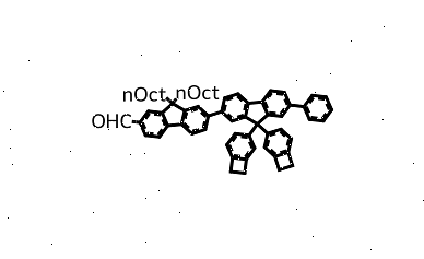 CCCCCCCCC1(CCCCCCCC)c2cc(C=O)ccc2-c2ccc(-c3ccc4c(c3)C(c3ccc5c(c3)CC5)(c3ccc5c(c3)CC5)c3cc(-c5ccccc5)ccc3-4)cc21